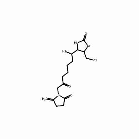 C=C1CCC(=O)N1CC(=O)CCCCC(S)C1NC(=O)NC1CO